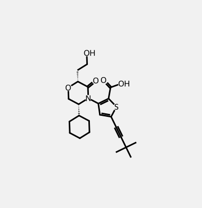 CC(C)(C)C#Cc1cc(N2C(=O)[C@@H](CCO)OC[C@H]2C2CCCCC2)c(C(=O)O)s1